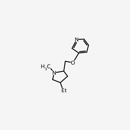 CCC1CC(COc2cccnc2)N(C)C1